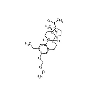 CCc1cc2c(cc1OSOON)CC[C@@H]1[C@@H]2CC[C@]2(C)[C@@H](C(C)=O)CC[C@@H]12